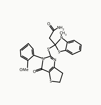 COc1ccccc1-n1c(SC2(CC(N)=O)Sc3ccccc3N2C)nc2c(c1=O)SCC2